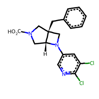 O=C(O)N1C[C@H]2N(c3cnc(Cl)c(Cl)c3)C[C@@]2(Cc2ccccc2)C1